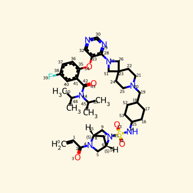 C=CC(=O)N1C[C@@H]2C[C@H]1CN2S(=O)(=O)NC1CCC(CN2CCC3(CC2)CN(c2ncncc2Oc2ccc(F)cc2C(=O)N(C(C)C)C(C)C)C3)CC1